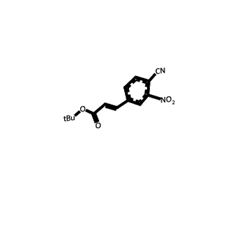 CC(C)(C)OC(=O)/C=C/c1ccc(C#N)c([N+](=O)[O-])c1